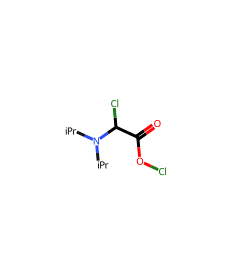 CC(C)N(C(C)C)C(Cl)C(=O)OCl